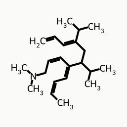 C=C/C=C(/CC(C(/C=C\CN(C)C)=C/C=C\C)C(C)C)C(C)C